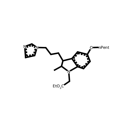 CCCCCOc1ccc2c(c1)C(CCCn1ccnc1)C(C)N2CC(=O)OCC